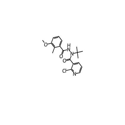 COc1cccc(C(=O)NN(C(=O)c2cccnc2Cl)C(C)(C)C)c1C